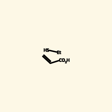 C=CC(=O)O.CCS